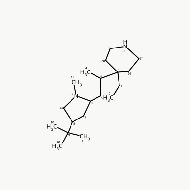 CCC1(C(C)CC2CC(C(C)(C)C)CN2C)CCNCC1